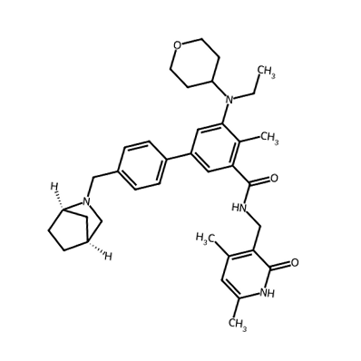 CCN(c1cc(-c2ccc(CN3C[C@H]4CC[C@@H]3C4)cc2)cc(C(=O)NCc2c(C)cc(C)[nH]c2=O)c1C)C1CCOCC1